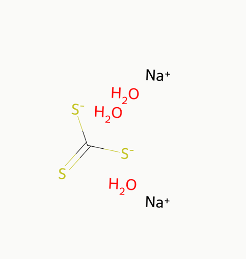 O.O.O.S=C([S-])[S-].[Na+].[Na+]